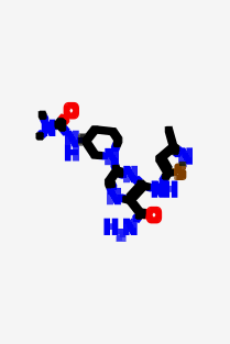 Cc1cc(Nc2nc(N3CCC[C@@H](NC(=O)N(C)C)C3)cnc2C(N)=O)sn1